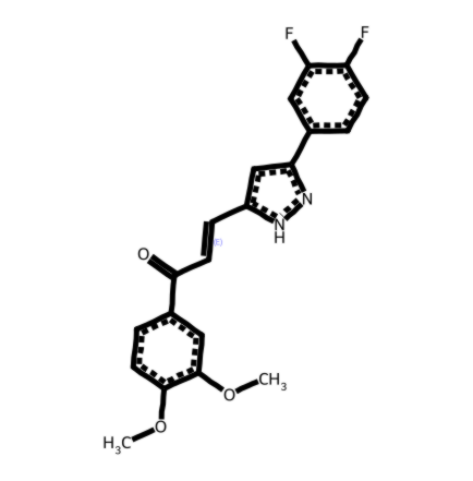 COc1ccc(C(=O)/C=C/c2cc(-c3ccc(F)c(F)c3)n[nH]2)cc1OC